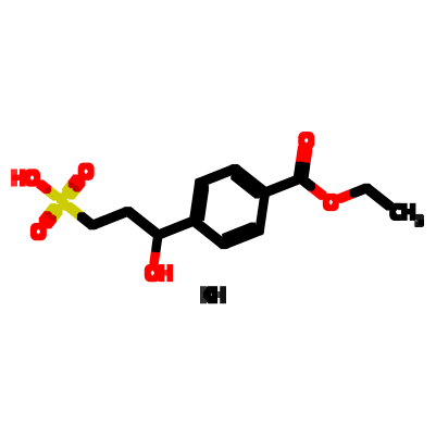 CCOC(=O)c1ccc(C(O)CCS(=O)(=O)O)cc1.[KH]